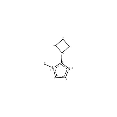 Cn1[c]cnc1C1CCC1